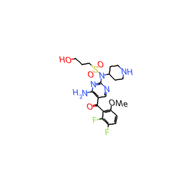 COc1ccc(F)c(F)c1C(=O)c1cnc(N(C2CCNCC2)S(=O)(=O)CCCO)nc1N